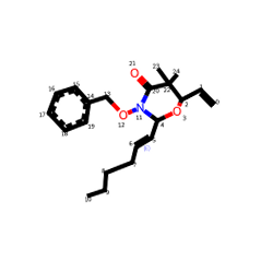 C=CC1OC(/C=C/CCCC)N(OCc2ccccc2)C(=O)C1(C)C